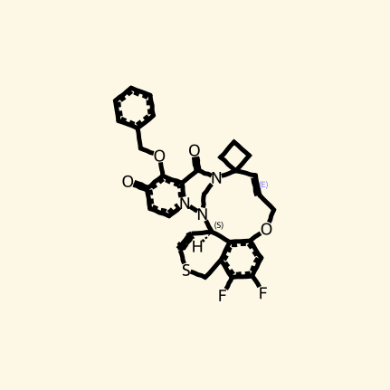 O=C1c2c(OCc3ccccc3)c(=O)ccn2N2CN1C1(/C=C/COc3cc(F)c(F)c4c3[C@H]2c2ccccc2SC4)CCC1